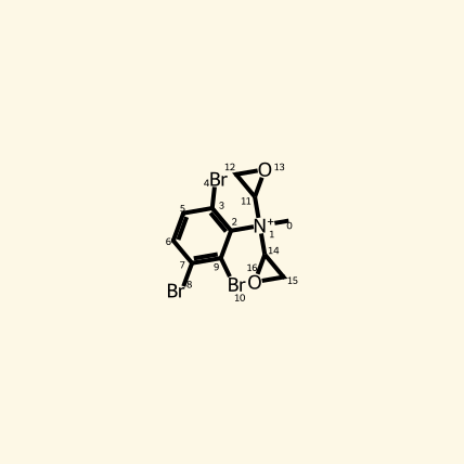 C[N+](c1c(Br)ccc(Br)c1Br)(C1CO1)C1CO1